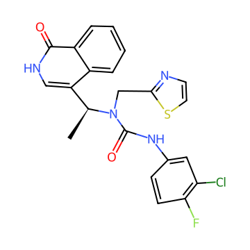 C[C@@H](c1c[nH]c(=O)c2ccccc12)N(Cc1nccs1)C(=O)Nc1ccc(F)c(Cl)c1